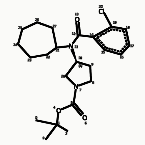 CC(C)(C)OC(=O)N1CC[C@H](N(C(=O)c2ccccc2Cl)C2CCCCCC2)C1